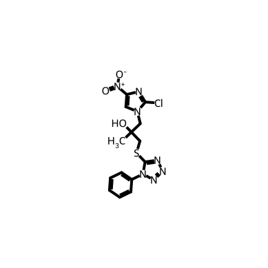 CC(O)(CSc1nnnn1-c1ccccc1)Cn1cc([N+](=O)[O-])nc1Cl